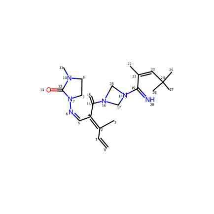 C=C/C(C)=C(\C=N/N1CCN(C)C1=O)C(=C)N1CN(C(=N)/C(C)=C\C(C)(C)C)C1